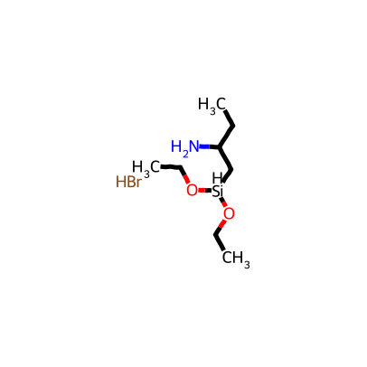 Br.CCO[SiH](CC(N)CC)OCC